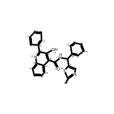 Cc1ncc(C(NC(=O)c2c(O)c(-c3ccccc3)nc3ccccc23)c2ccccc2)s1